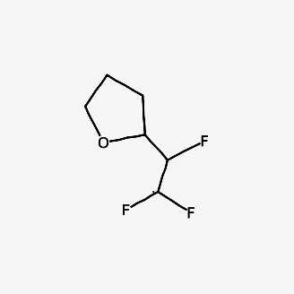 F[C](F)C(F)C1CCCO1